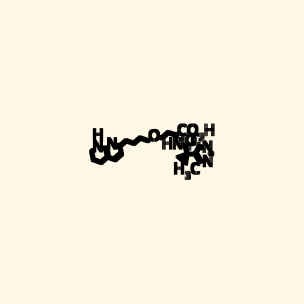 Cc1ncnc(C)c1C1(C(=O)NC(CCOCCCCc2ccc3c(n2)NCCC3)C(=O)O)CC1